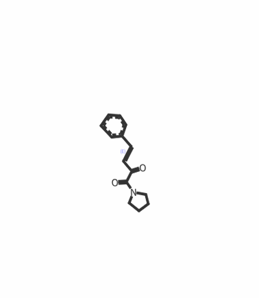 O=C(/C=C/c1ccccc1)C(=O)N1CCCC1